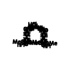 CCCOc1c(OC)cc(-c2ccc(C(=O)N3CCN(CCCN4CCN(C(=O)c5ccc(-c6cc(OC)c(OCCC)c(OC)c6)cc5)CC4)CC3)cc2)cc1OC.Cl.Cl